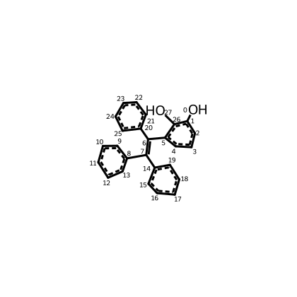 Oc1cccc(C(=C(c2ccccc2)c2ccccc2)c2ccccc2)c1O